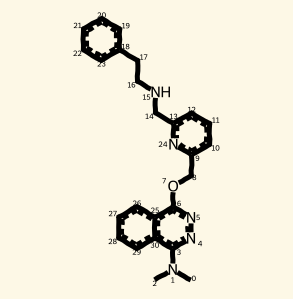 CN(C)c1nnc(OCc2cccc(CNCCc3ccccc3)n2)c2ccccc12